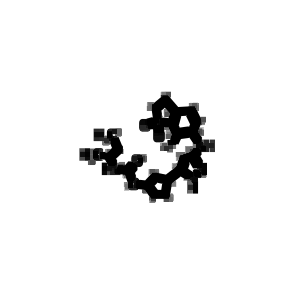 CC[C@H](C)NC(=O)OC1CCC(c2cc(Nc3ccc4c(c3F)S(=O)(=O)CC4)n[nH]2)C1